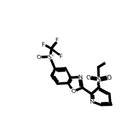 CCS(=O)(=O)c1c[c]cnc1-c1nc2cc([S+]([O-])C(F)(F)F)ccc2o1